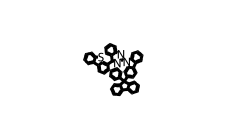 c1ccc(C2(c3ccc4c5ccccc5n(-c5nc(-c6cccc7c6sc6ccccc67)c6ccccc6n5)c4c3)c3ccccc3-c3ccccc32)cc1